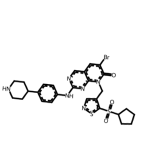 O=c1c(Br)cc2cnc(Nc3ccc(C4CCNCC4)cc3)nc2n1Cc1cnsc1S(=O)(=O)C1CCCC1